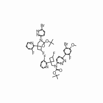 CC(C)(C)OC(=O)N(CC1(c2ncccc2F)CC(F)C1)c1ccc(Br)nn1.COc1cc(F)c(-c2ccc(N(CC3(c4ncccc4F)CC(F)C3)C(=O)OC(C)(C)C)nn2)cc1Br